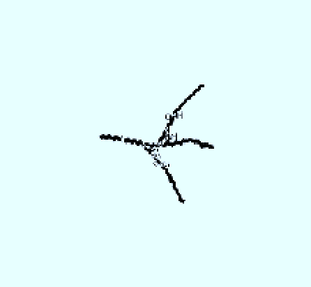 CCCCCCCCCCCCCCN(CCCCN(CCCCCCCCCCCCCC)CC(O)CNCCC(=O)NCCCCCCCCCCCC)CC(O)CNCCC(=O)NCCCCCCCCCCCC